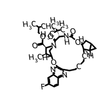 CC(C)COC(=O)[C@@H]1[C@H](C)[C@@H]2CN1C(=O)[C@H](C(C)(C)C)NC(=O)O[C@@H]1CC3C[C@@H]3[C@H]1CCCCCc1nc3ccc(F)cc3nc1O2